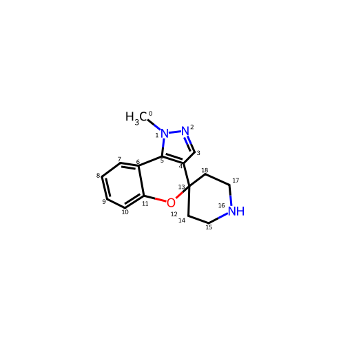 Cn1ncc2c1-c1ccccc1OC21CCNCC1